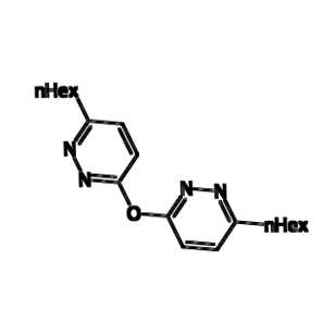 CCCCCCc1ccc(Oc2ccc(CCCCCC)nn2)nn1